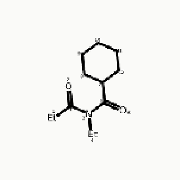 CCC(=O)N(CC)C(=O)C1CCCCC1